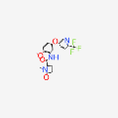 COc1ccc(Oc2ccc(C(F)(F)F)nc2)cc1NC(=O)C1CCC(=O)N1C